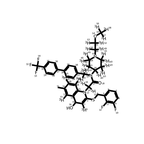 [2H]C1=C(SCc2cccc(F)c2F)N(C([2H])([2H])C(=O)N(C([2H])([2H])c2ccc(-c3ccc(C(F)(F)F)cc3)cc2)C2([2H])C([2H])([2H])C([2H])([2H])N(C([2H])([2H])C([2H])([2H])OC([2H])([2H])[2H])C([2H])([2H])C2([2H])[2H])c2c([2H])c([2H])c(C)c([2H])c2C1O